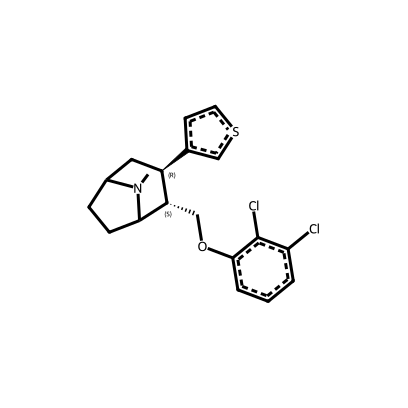 CN1C2CCC1[C@@H](COc1cccc(Cl)c1Cl)[C@H](c1ccsc1)C2